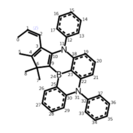 C/C=C\C1=C(C)C(C)(C)C2=C1N(c1ccccc1)c1cccc3c1B2c1ccccc1N3c1ccccc1